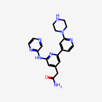 NC(=O)Cc1cc(Nc2cnccn2)nc(-c2ccnc(N3CCNCC3)c2)c1